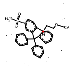 COCCNc1ccc(S(N)(=O)=O)cc1C(c1ccccc1)(c1ccccc1)c1ccccc1